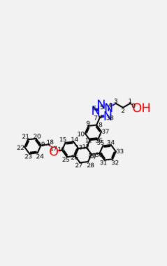 OCCCn1nnc(-c2ccc(C3c4ccc(OCc5ccccc5)cc4CC[C@@H]3c3ccccc3)cc2)n1